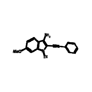 CCn1c(C#Cc2ccccc2)c(N)c2ccc(OC)cc21